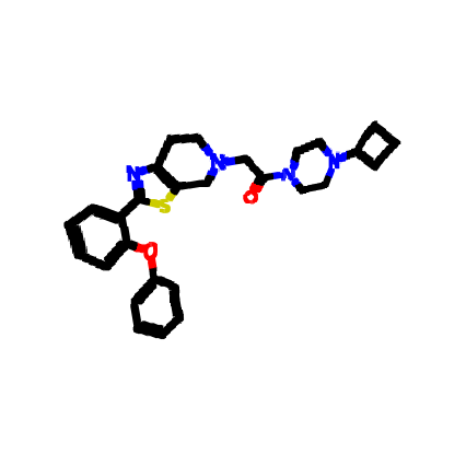 O=C(CN1CCc2nc(-c3ccccc3Oc3ccccc3)sc2C1)N1CCN(C2CCC2)CC1